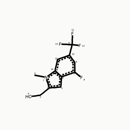 Cn1c(CO)cc2c(F)cc(C(F)(F)F)cc21